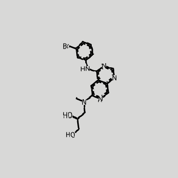 CN(CC(O)CO)c1cc2c(Nc3cccc(Br)c3)ncnc2cn1